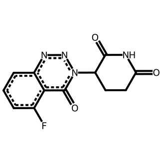 O=C1CCC(n2nnc3cccc(F)c3c2=O)C(=O)N1